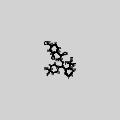 O=C(NCC(c1cccnc1C(F)(F)F)N1CCC(F)(F)CC1)c1ccc(Cl)cc1Cl